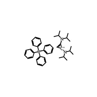 CC(C)N(c1c[c+]1N(C(C)C)C(C)C)C(C)C.c1ccc([B-](c2ccccc2)(c2ccccc2)c2ccccc2)cc1